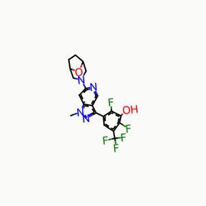 Cn1nc(-c2cc(C(F)(F)F)c(F)c(O)c2F)c2cnc(N3CC4CCC(C3)O4)cc21